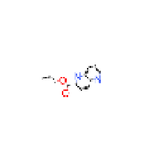 C=CCOC(=O)c1ccc2ncccc2n1